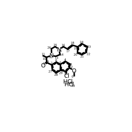 COc1ccc2cc(C(=O)C(C)N3CCN(CC=Cc4ccccc4)CC3)ccc2c1Cl.Cl.Cl